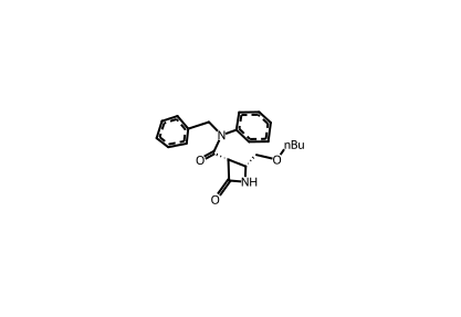 CCCCOC[C@@H]1NC(=O)[C@@H]1C(=O)N(Cc1ccccc1)c1ccccc1